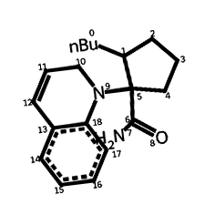 CCCCC1CCCC1(C(N)=O)N1CC=Cc2ccccc21